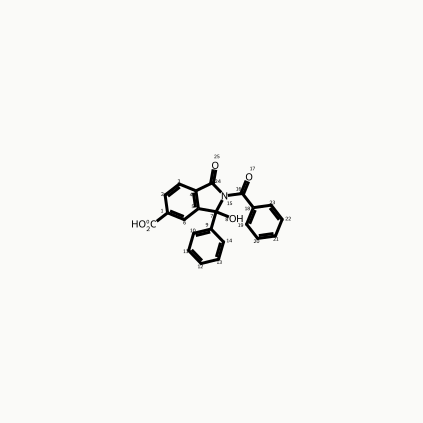 O=C(O)c1ccc2c(c1)C(O)(c1ccccc1)N(C(=O)c1ccccc1)C2=O